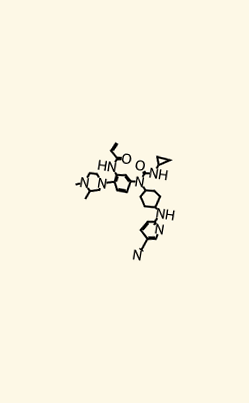 C=CC(=O)Nc1cc(N(C(=O)NC2CC2)C2CCC(Nc3ccc(C#N)cn3)CC2)ccc1N1CCN(C)C(C)C1